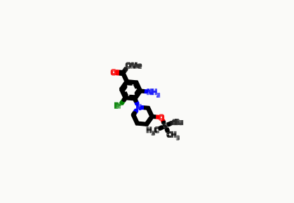 COC(=O)c1cc(N)c(N2CCCC(O[Si](C)(C)C(C)(C)C)C2)c(Br)c1